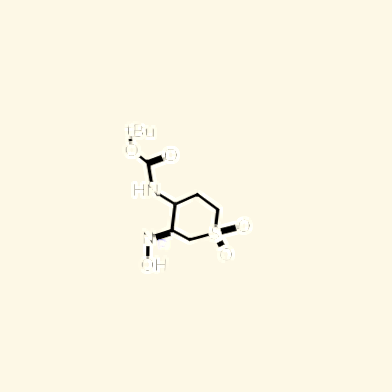 CC(C)(C)OC(=O)NC1CCS(=O)(=O)C/C1=N\O